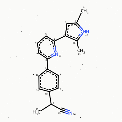 Cc1cc(-c2cccc(-c3ccc(C(C)C#N)cc3)n2)c(C)[nH]1